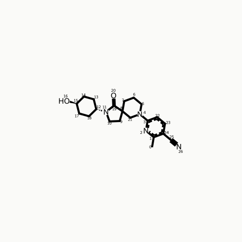 Cc1nc(N2CCCC3(CCN([C@H]4CC[C@H](O)CC4)C3=O)C2)ccc1C#N